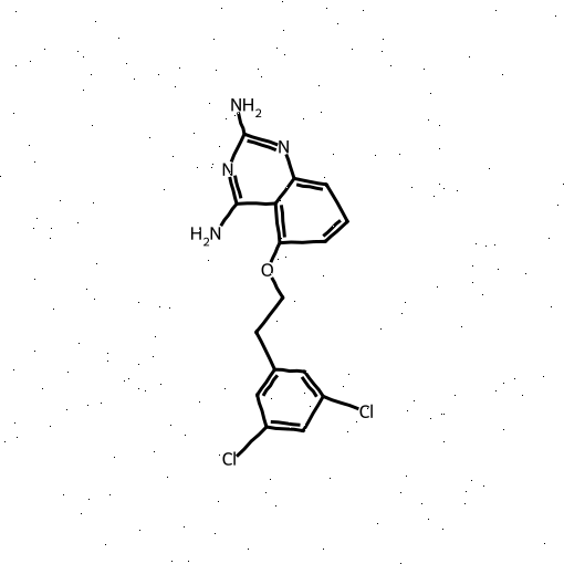 Nc1nc(N)c2c(OCCc3cc(Cl)cc(Cl)c3)cccc2n1